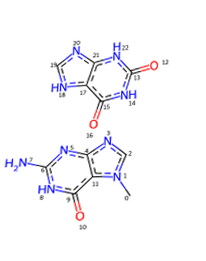 Cn1cnc2nc(N)[nH]c(=O)c21.O=c1[nH]c(=O)c2[nH]cnc2[nH]1